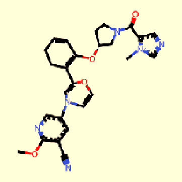 COc1ncc(N2C=COC(C3=C(O[C@H]4CCN(C(=O)c5cncn5C)C4)C=CCC3)=C2)cc1C#N